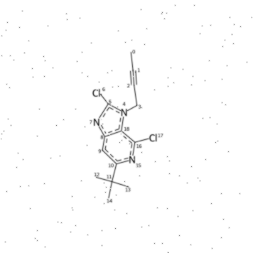 CC#CCn1c(Cl)nc2cc(C(C)(C)C)nc(Cl)c21